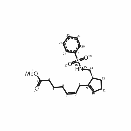 COC(=O)CCC/C=C\CC1=CCC[C@@H]1CNS(=O)(=O)c1ccccc1